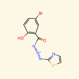 O=C(N=[N+]=Nc1nccs1)c1cc(Br)ccc1O